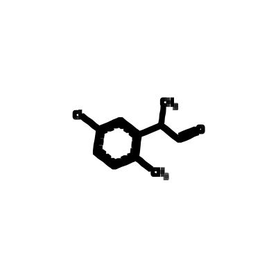 Cc1ccc(Cl)cc1C(C)C=O